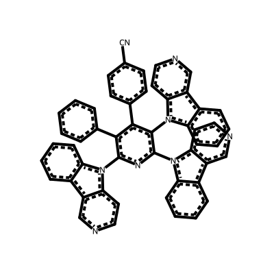 N#Cc1ccc(-c2c(-c3ccccc3)c(-n3c4ccccc4c4cnccc43)nc(-n3c4ccccc4c4cnccc43)c2-n2c3ccccc3c3cnccc32)cc1